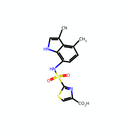 Cc1ccc(NS(=O)(=O)c2nc(C(=O)O)cs2)c2[nH]cc(C#N)c12